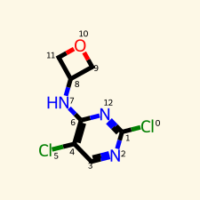 Clc1ncc(Cl)c(NC2COC2)n1